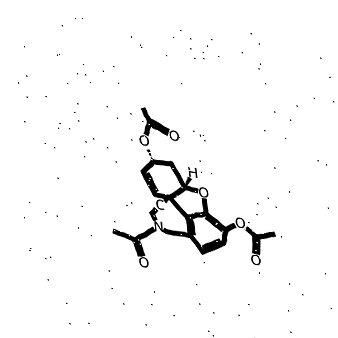 CC(=O)Oc1ccc2c3c1O[C@H]1C[C@@H](OC(C)=O)C=C[C@@]31CCN(C(C)=O)C2